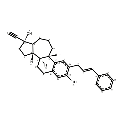 C#C[C@]1(O)CC[C@@H]2C1CCC[C@@H]1c3cc(C/C=C/c4ccccc4)c(O)cc3CC[C@H]12